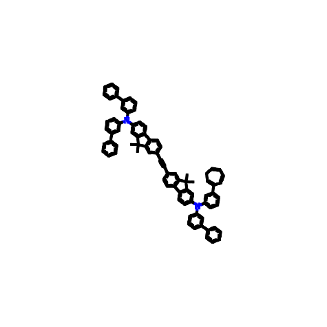 CC1(C)c2cc(C#Cc3ccc4c(c3)C(C)(C)c3cc(N(c5cccc(-c6ccccc6)c5)c5cccc(-c6ccccc6)c5)ccc3-4)ccc2-c2ccc(N(c3cccc(C4=CCC=CC=C4)c3)c3cccc(-c4ccccc4)c3)cc21